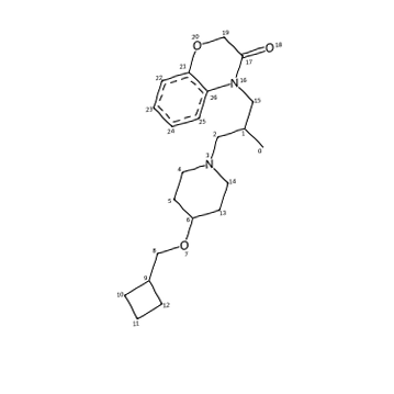 CC(CN1CCC(OCC2CCC2)CC1)CN1C(=O)COc2ccccc21